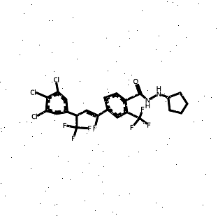 O=C(NNC1CCCC1)c1ccc(C(F)=CC(c2cc(Cl)c(Cl)c(Cl)c2)C(F)(F)F)cc1C(F)(F)F